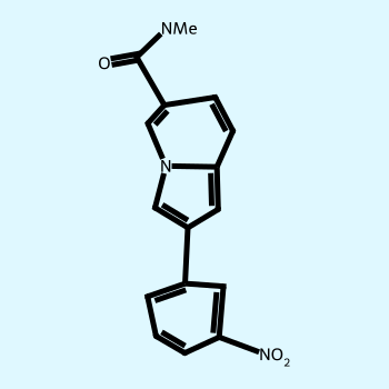 CNC(=O)c1ccc2cc(-c3cccc([N+](=O)[O-])c3)cn2c1